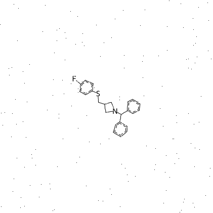 Fc1ccc(SCC2CN(C(c3ccccc3)c3ccccc3)C2)cc1